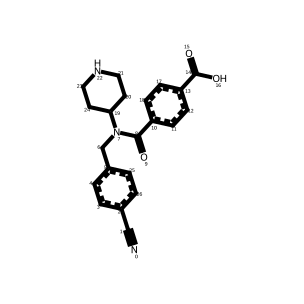 N#Cc1ccc(CN(C(=O)c2ccc(C(=O)O)cc2)C2CCNCC2)cc1